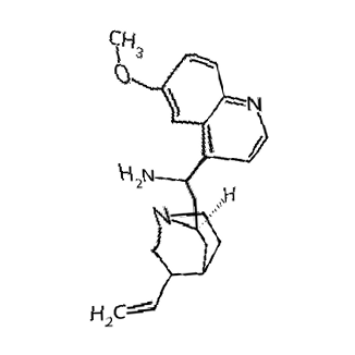 C=CC1CN2CCC1C[C@@H]2C(N)c1ccnc2ccc(OC)cc12